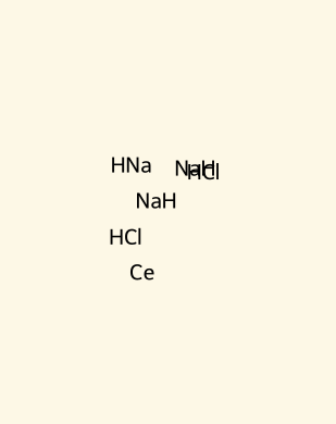 Cl.Cl.[Ce].[NaH].[NaH].[NaH]